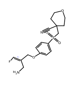 N#CC1(CS(=O)(=O)c2ccc(OC/C(=C/F)CN)cc2)CCOCC1